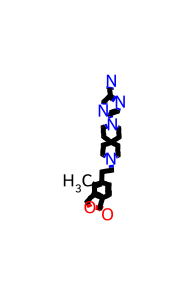 Cc1c(CCN2CCC3(CC2)CCN(c2cnc(C#N)cn2)CC3)ccc2c1COC2=O